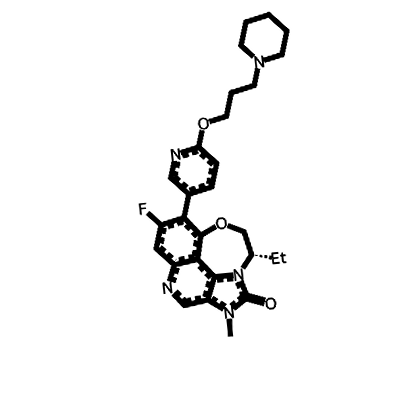 CC[C@H]1COc2c(-c3ccc(OCCCN4CCCCC4)nc3)c(F)cc3ncc4c(c23)n1c(=O)n4C